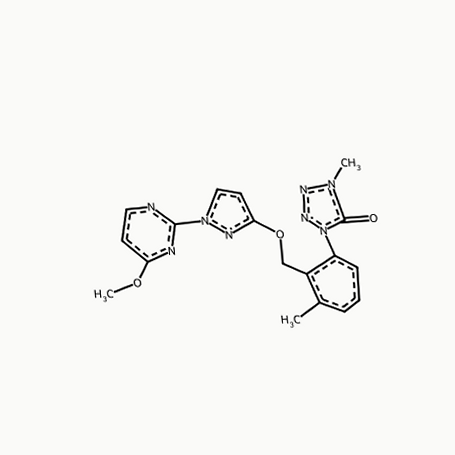 COc1ccnc(-n2ccc(OCc3c(C)cccc3-n3nnn(C)c3=O)n2)n1